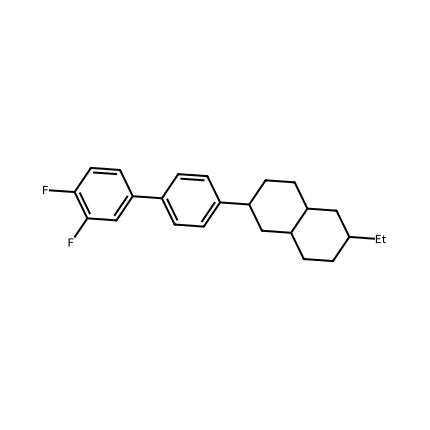 CCC1CCC2CC(c3ccc(-c4ccc(F)c(F)c4)cc3)CCC2C1